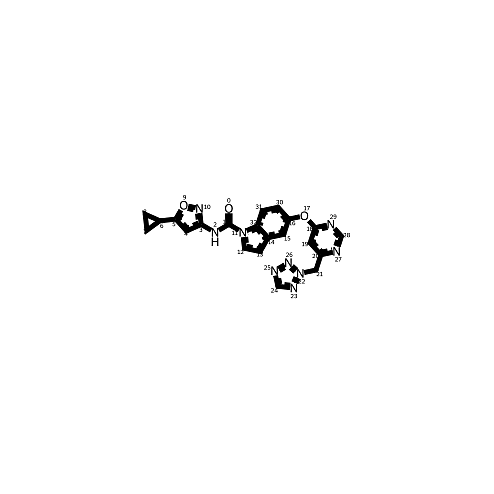 O=C(Nc1cc(C2CC2)on1)n1ccc2cc(Oc3cc(Cn4ncnn4)ncn3)ccc21